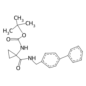 CC(C)(C)OC(=O)NC1(C(=O)NCc2ccc(-c3ccccc3)cc2)CC1